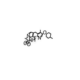 CSS(=O)(=O)Nc1nccc(Cc2cncc(OC3CCC(C)CC3)c2C)c1F